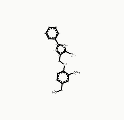 COc1cc(CO)ccc1OCc1nc(-c2c[c]ccc2)oc1C